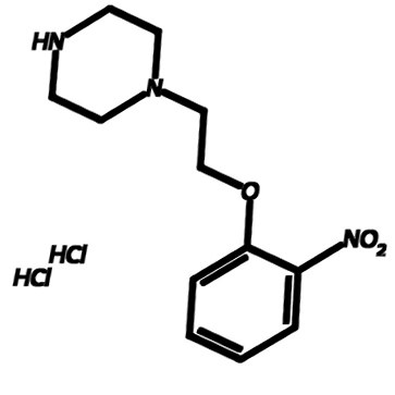 Cl.Cl.O=[N+]([O-])c1ccccc1OCCN1CCNCC1